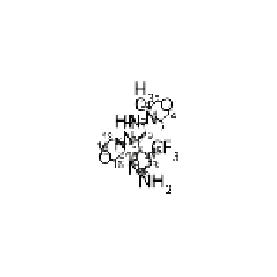 C[C@H]1COCCN1C(=N)/C=C(\NN1CCOCC1)c1cnc(N)cc1C(F)(F)F